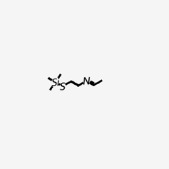 C/C=N/CCS[Si](C)(C)C